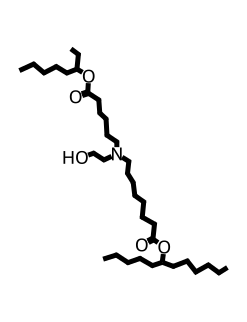 CCCCCCC(CCCCC)OC(=O)CCCCCCCN(CCO)CCCCCC(=O)OC(CC)CCCCC